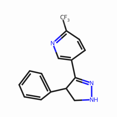 FC(F)(F)c1ccc(C2=NNCC2c2ccccc2)cn1